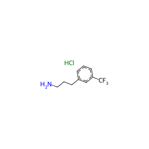 Cl.NCCCc1cccc(C(F)(F)F)c1